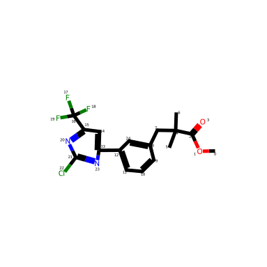 COC(=O)C(C)(C)Cc1cccc(-c2cc(C(F)(F)F)nc(Cl)n2)c1